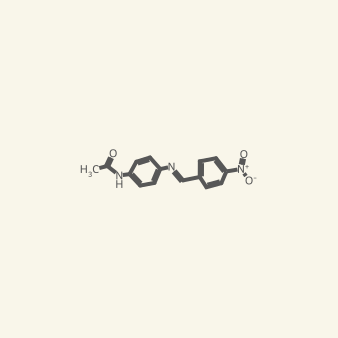 CC(=O)Nc1ccc(/N=C/c2ccc([N+](=O)[O-])cc2)cc1